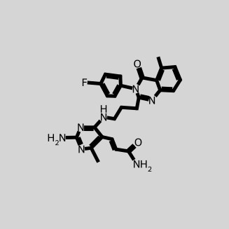 Cc1nc(N)nc(NCCCc2nc3cccc(C)c3c(=O)n2-c2ccc(F)cc2)c1/C=C/C(N)=O